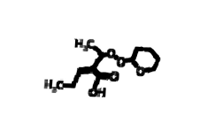 CCC=C(C(=O)O)C(C)OOC1CCCCO1